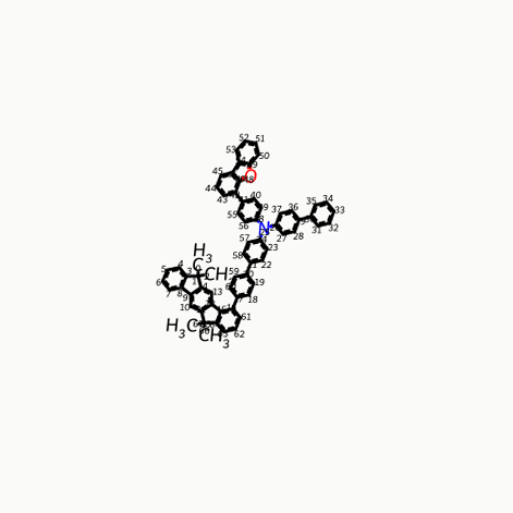 CC1(C)c2ccccc2-c2cc3c(cc21)-c1c(-c2ccc(-c4ccc(N(c5ccc(-c6ccccc6)cc5)c5ccc(-c6cccc7c6oc6ccccc67)cc5)cc4)cc2)cccc1C3(C)C